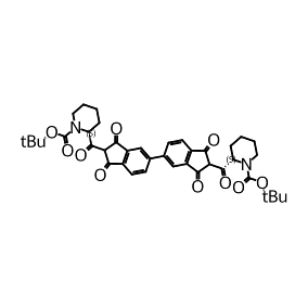 CC(C)(C)OC(=O)N1CCCC[C@H]1C(=O)C1C(=O)c2ccc(-c3ccc4c(c3)C(=O)C(C(=O)[C@@H]3CCCCN3C(=O)OC(C)(C)C)C4=O)cc2C1=O